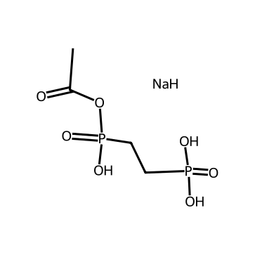 CC(=O)OP(=O)(O)CCP(=O)(O)O.[NaH]